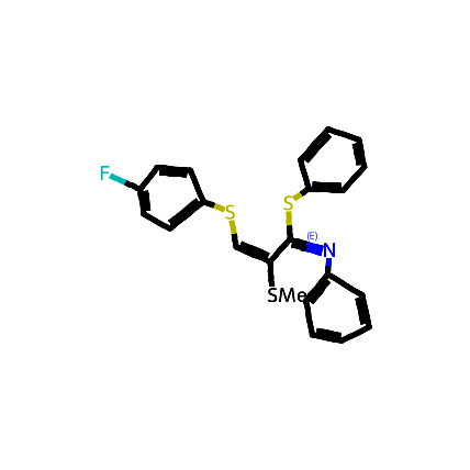 CSC(=CSc1ccc(F)cc1)/C(=N\c1ccccc1)Sc1ccccc1